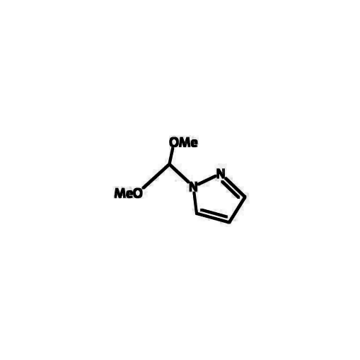 COC(OC)n1cccn1